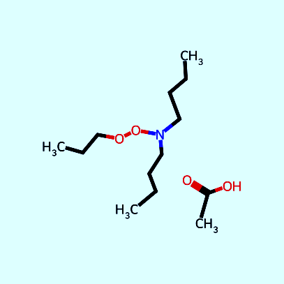 CC(=O)O.CCCCN(CCCC)OOCCC